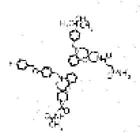 CC(=O)NCC(=O)N1CCC2(CC1)CCN(Cc1ccc(OCc3ccc(F)cc3)cc1)c1ccccc1O2.CC(C)(C)c1ccc(CN2CCC3(CCN(C(=O)CCC(N)=O)CC3)Oc3ccccc32)cc1